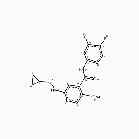 COc1cnc(NSC2CC2)cc1C(=O)Nc1ccc(F)c(Cl)c1